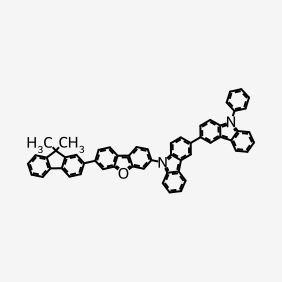 CC1(C)c2ccccc2-c2ccc(-c3ccc4c(c3)oc3cc(-n5c6ccccc6c6cc(-c7ccc8c(c7)c7ccccc7n8-c7ccccc7)ccc65)ccc34)cc21